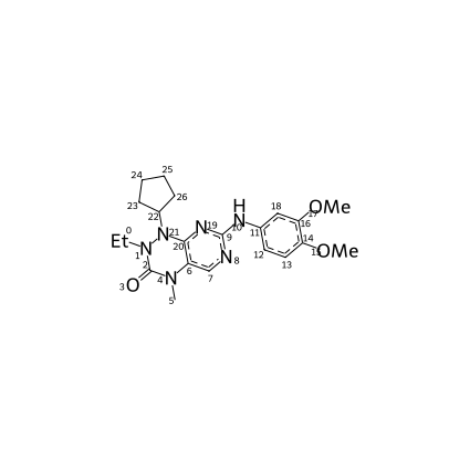 CCN1C(=O)N(C)c2cnc(Nc3ccc(OC)c(OC)c3)nc2N1C1CCCC1